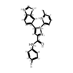 Cc1cccc(-n2nc(C(=O)Nc3ccc(F)cc3)cc2-c2ccc3ncsc3c2)n1